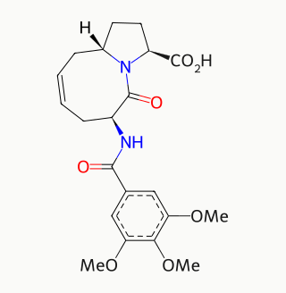 COc1cc(C(=O)N[C@H]2CC=CC[C@@H]3CC[C@@H](C(=O)O)N3C2=O)cc(OC)c1OC